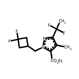 CCOC(=O)c1c(C)c(C(C)(F)F)nn1CC1CC(F)(F)C1